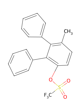 Cc1ccc(OS(=O)(=O)C(F)(F)F)c(-c2ccccc2)c1-c1ccccc1